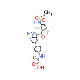 CCCS(=O)(=O)Nc1ccc(F)c(C(=O)c2c[nH]c3ncc(-c4ccc(NC(=O)CC(=O)O)cc4)cc23)c1F